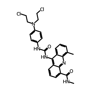 CNC(=O)c1cccc2c(NC(=O)Nc3ccc(N(CCCl)CCCl)cc3)c3cccc(C)c3nc12